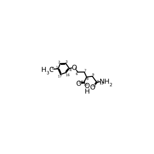 Cc1ccc(OCCC(CC(N)=O)C(=O)O)cc1